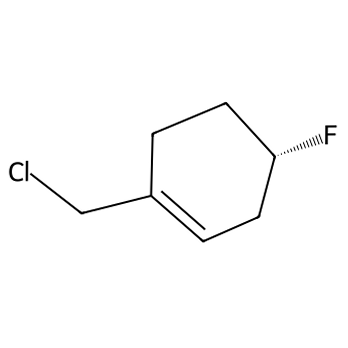 F[C@@H]1CC=C(CCl)CC1